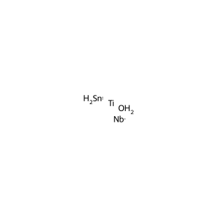 O.[Nb].[SnH2].[Ti]